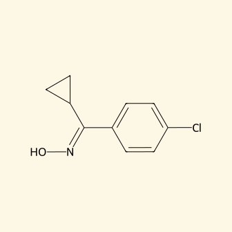 ON=C(c1ccc(Cl)cc1)C1CC1